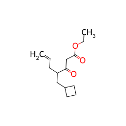 C=CCC(CC1CCC1)C(=O)CC(=O)OCC